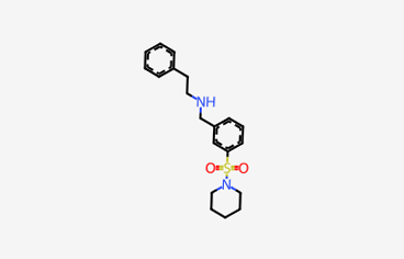 O=S(=O)(c1cccc(CNCCc2ccccc2)c1)N1CCCCC1